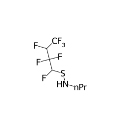 CCCNSC(F)C(F)(F)C(F)C(F)(F)F